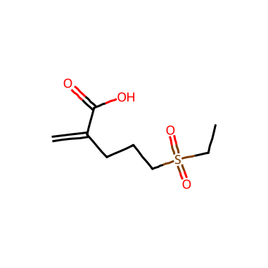 C=C(CCCS(=O)(=O)CC)C(=O)O